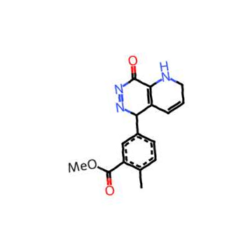 COC(=O)c1cc(C2N=NC(=O)C3=C2C=CCN3)ccc1C